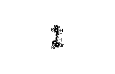 O=c1cc(NCCCN[C@H]2CCOc3c(Br)cc(Br)cc32)[nH]c2ccsc12